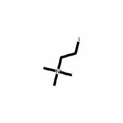 C[N+](C)(C)CCI